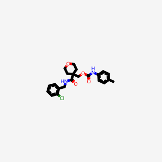 Cc1ccc(NC(=O)OCC2(C(=O)NCc3ccccc3Cl)CCOCC2)cc1